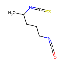 CC(CCCN=C=O)N=C=S